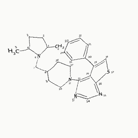 CC1CCC(C)N1CC1CCN(c2ncnc3scc(-c4ccccc4)c23)CC1